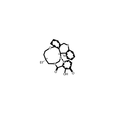 CC[C@@H]1CCOc2cccc3c2[C@@H](c2ccccc2SC3)N2CN(C1)C(=O)c1c(O)c(=O)ccn12